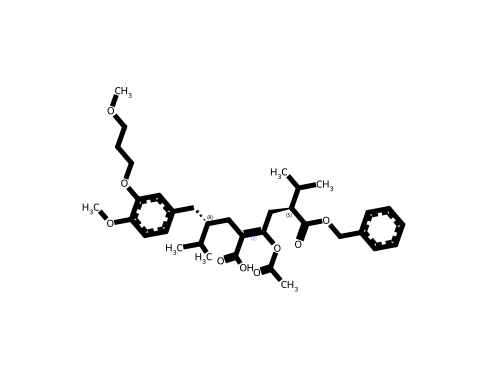 COCCCOc1cc(C[C@H](C/C(C(=O)O)=C(\C[C@H](C(=O)OCc2ccccc2)C(C)C)OC(C)=O)C(C)C)ccc1OC